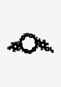 Cc1ccc(CN2CCOCCOCCN(c3ccc(I)cc3)CCOCCOCC2)cc1